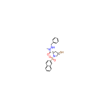 CN(NCc1ccccc1)C(=O)[C@@H]1C[C@@H](S)CN1S(=O)(=O)c1ccc2ccccc2c1